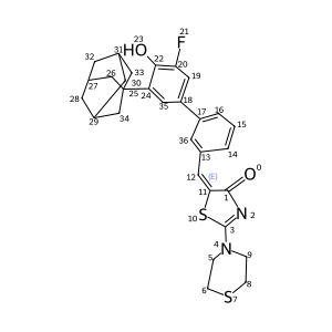 O=C1N=C(N2CCSCC2)S/C1=C/c1cccc(-c2cc(F)c(O)c(C34CC5CC(CC(C5)C3)C4)c2)c1